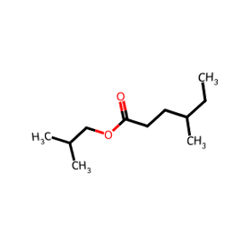 CCC(C)CCC(=O)OCC(C)C